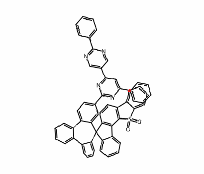 O=S1(=O)c2ccccc2-c2ccc3c(c21)-c1ccccc1C31c2ccccc2-c2ccccc2-c2ccc(-c3nc(-c4ccccc4)cc(-c4cnc(-c5ccccc5)nc4)n3)cc21